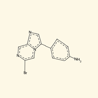 Nc1ccc(-c2cnc3cnc(Br)cn23)cc1